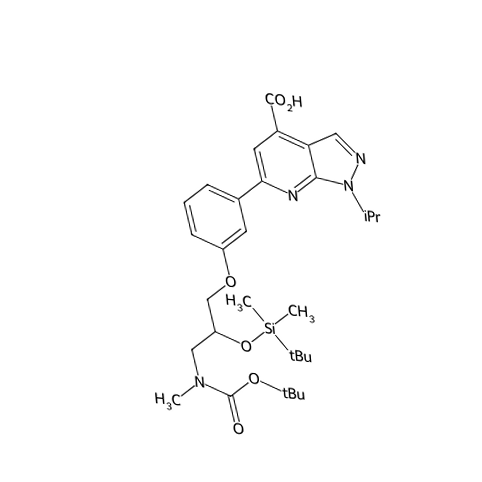 CC(C)n1ncc2c(C(=O)O)cc(-c3cccc(OCC(CN(C)C(=O)OC(C)(C)C)O[Si](C)(C)C(C)(C)C)c3)nc21